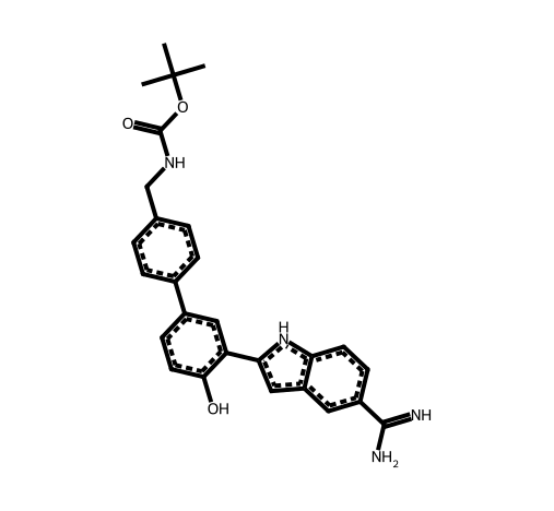 CC(C)(C)OC(=O)NCc1ccc(-c2ccc(O)c(-c3cc4cc(C(=N)N)ccc4[nH]3)c2)cc1